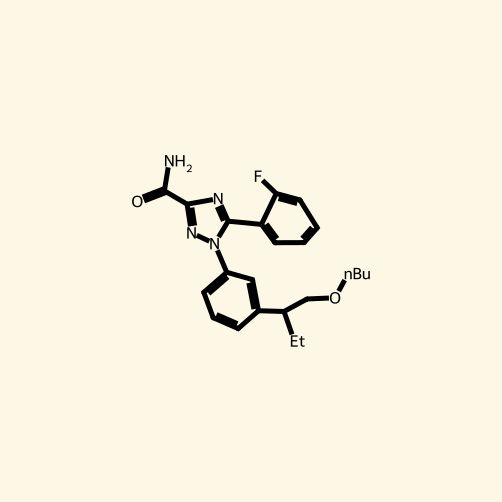 CCCCOCC(CC)c1cccc(-n2nc(C(N)=O)nc2-c2ccccc2F)c1